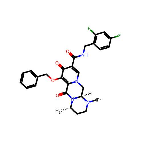 CC(C)N1CC[C@H](C)N2C(=O)c3c(OCc4ccccc4)c(=O)c(C(=O)NCc4ccc(F)cc4F)cn3C[C@@H]12